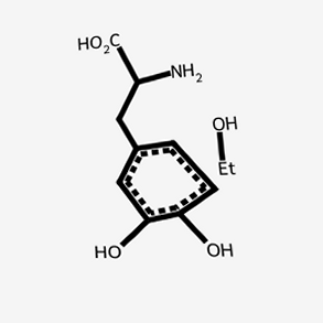 CCO.NC(Cc1ccc(O)c(O)c1)C(=O)O